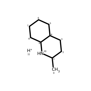 CC1CCC2CCCCC2N1.[H+]